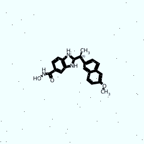 COc1ccc2cc([C@H](C)C3Nc4ccc(C(=O)NO)cc4N3)ccc2c1